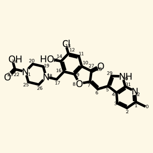 Cc1ccc2c(C=C3Oc4c(cc(Cl)c(O)c4CN4CCN(C(=O)O)CC4)C3=O)c[nH]c2n1